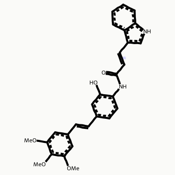 COc1cc(C=Cc2ccc(NC(=O)/C=C/c3c[nH]c4ccccc34)c(O)c2)cc(OC)c1OC